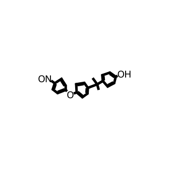 CC(C)(c1ccc(O)cc1)c1ccc(Oc2ccc(N=O)cc2)cc1